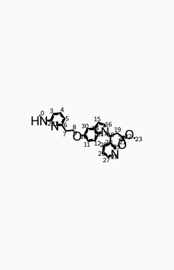 CNc1cccc(CCOc2ccc3c(ccn3C(CC(=O)OC)c3cccnc3)c2)n1